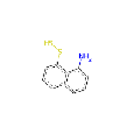 Nc1cccc2cccc(SS)c12